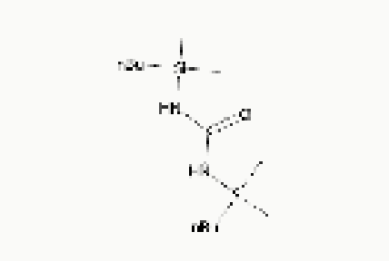 CCCC[Si](C)(C)NC(=O)N[Si](C)(C)CCCC